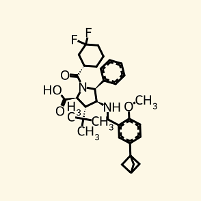 COc1ccc(C23CC(C2)C3)cc1CN[C@H]1[C@H](C(C)(C)C)[C@@H](C(=O)O)N(C(=O)[C@H]2CCCC(F)(F)C2)[C@H]1c1ccccc1